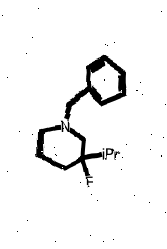 CC(C)C1(F)CCCN(Cc2ccccc2)C1